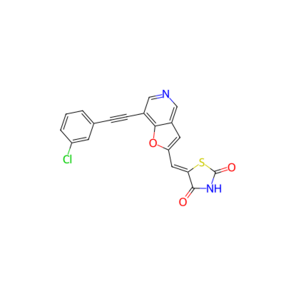 O=C1NC(=O)/C(=C/c2cc3cncc(C#Cc4cccc(Cl)c4)c3o2)S1